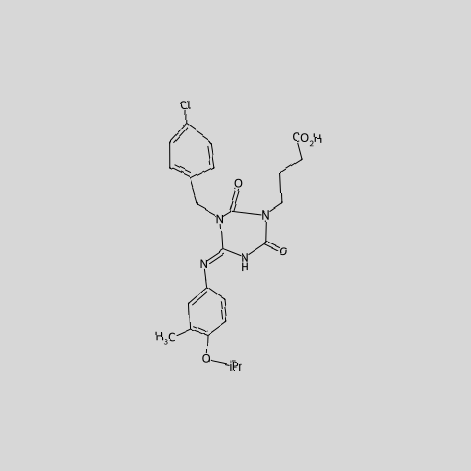 Cc1cc(/N=c2\[nH]c(=O)n(CCCC(=O)O)c(=O)n2Cc2ccc(Cl)cc2)ccc1OC(C)C